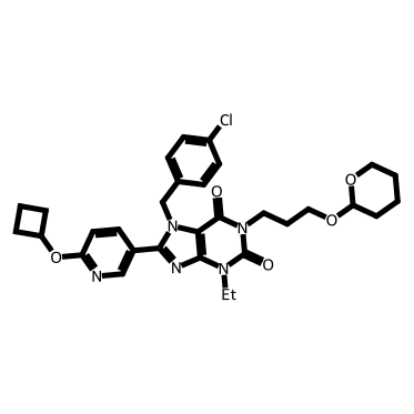 CCn1c(=O)n(CCCOC2CCCCO2)c(=O)c2c1nc(-c1ccc(OC3CCC3)nc1)n2Cc1ccc(Cl)cc1